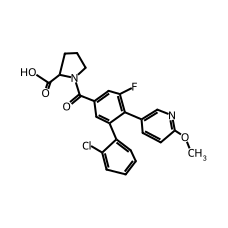 COc1ccc(-c2c(F)cc(C(=O)N3CCCC3C(=O)O)cc2-c2ccccc2Cl)cn1